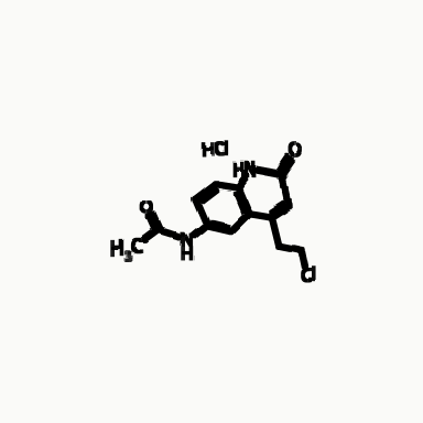 CC(=O)Nc1ccc2[nH]c(=O)cc(CCCl)c2c1.Cl